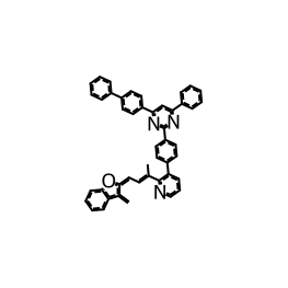 C=c1/c(=C\C=C(/C)c2ncccc2-c2ccc(-c3nc(-c4ccccc4)cc(-c4ccc(-c5ccccc5)cc4)n3)cc2)oc2ccccc12